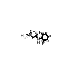 CN(C)CC(=O)Nc1c(F)cccc1F